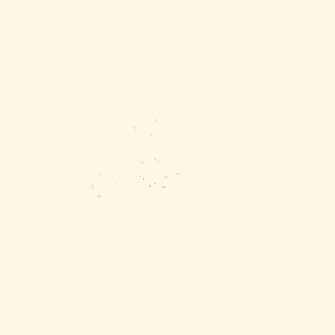 O=C(O)CCCCC(=O)[C@H]1[C@@H]2CSC(c3ccccc3)N2C(=O)N1Cc1ccccc1